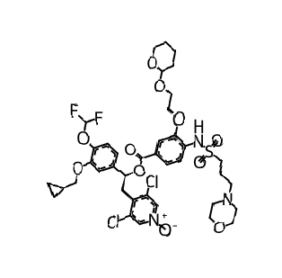 O=C(O[C@@H](Cc1c(Cl)c[n+]([O-])cc1Cl)c1ccc(OC(F)F)c(OCC2CC2)c1)c1ccc(NS(=O)(=O)CCCN2CCOCC2)c(OCCOC2CCCCO2)c1